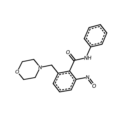 O=Nc1cccc(CN2CCOCC2)c1C(=O)Nc1ccccc1